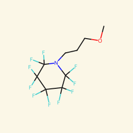 COCCCN1C(F)(F)C(F)(F)C(F)(F)C(F)(F)C1(F)F